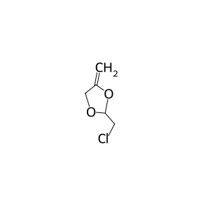 C=C1COC(CCl)O1